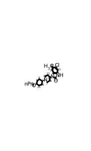 CCCO[C@H]1CC[C@@H](N2CCC(n3c(=O)[nH]c4cc(Cl)c(C)cc43)CC2)CC1